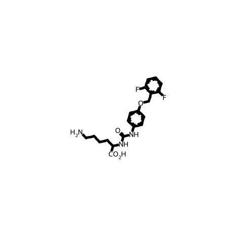 NCCCCC(NC(=O)Nc1ccc(OCc2c(F)cccc2F)cc1)C(=O)O